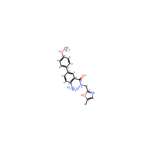 Cc1cnc(CN(N)C(=O)c2cc(-c3ccc(OC(F)(F)F)cc3)ccc2N)o1